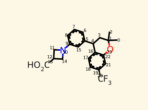 CC1(C)CC(c2cccc(N3CC(C(=O)O)C3)c2)c2ccc(C(F)(F)F)cc2O1